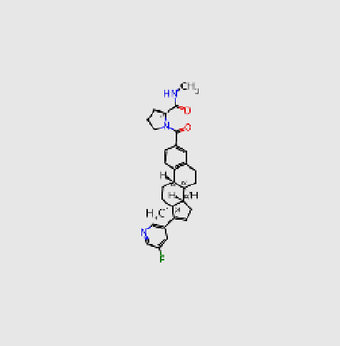 CNC(=O)[C@@H]1CCCN1C(=O)c1ccc2c(c1)CC[C@@H]1[C@@H]2CC[C@]2(C)C(c3cncc(F)c3)=CC[C@@H]12